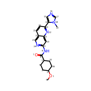 COC1CCC(C(=O)Nc2cc3nc(-c4cncn4C)ccc3cn2)CC1